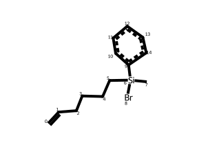 C=CCCCC[Si](C)(Br)c1ccccc1